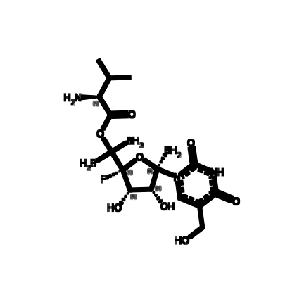 BC(B)(OC(=O)[C@@H](N)C(C)C)[C@@]1(F)O[C@@](B)(n2cc(CO)c(=O)[nH]c2=O)[C@H](O)[C@@H]1O